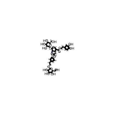 C/C=C1/[C@H](O[C@@H]2O[C@H](CO)[C@@H](O)[C@H](O)[C@H]2O)OC=C(C(=O)OCCc2ccc(O)c(O)c2)[C@H]1CC(=O)Oc1ccc(CCO[C@@H]2O[C@H](CO)[C@@H](O)[C@H](O)[C@H]2O)cc1